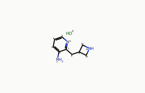 Cl.Nc1cccnc1CC1CNC1